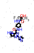 CC(O)(C(=O)NC1CCC(NC(=O)c2nc(-n3ccnc3)nc3cc[nH]c23)CC1)C(F)(F)F